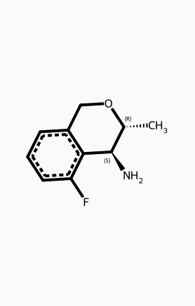 C[C@H]1OCc2cccc(F)c2[C@@H]1N